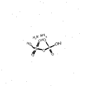 N.N.O=P(O)(O)OS(=O)(=O)O